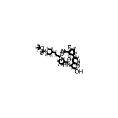 CC(C)(C)OC(=O)N1CCC(CCC(=O)N2CCC[C@@H](C(=O)NC(CC(=O)O)c3cncc(-c4ccc(F)c(C#N)c4)c3)C2)CC1